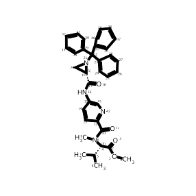 COC(=O)[C@H](C(C)C)N(C)C(=O)c1ccc(NC(=O)[C@@H]2CN2C(c2ccccc2)(c2ccccc2)c2ccccc2)cn1